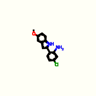 COc1ccc2[nH]c(-c3ccc(Cl)cc3N)cc2c1